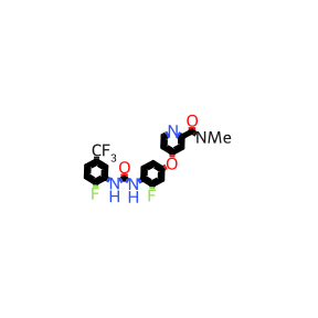 CNC(=O)c1cc(Oc2ccc(NC(=O)Nc3cc(C(F)(F)F)ccc3F)c(F)c2)ccn1